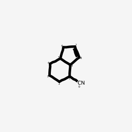 N#CC1CCCC2CC=CC12